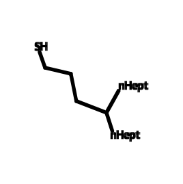 CCCCCCCC(CCCS)CCCCCCC